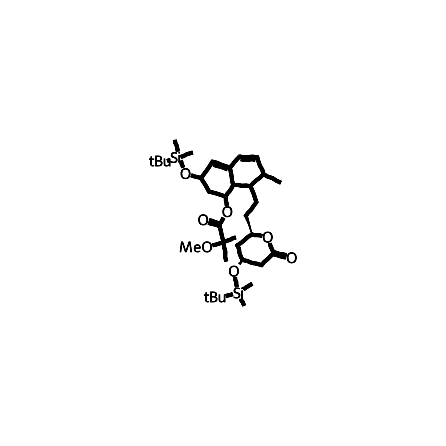 COC(C)(C)C(=O)OC1CC(O[Si](C)(C)C(C)(C)C)C=C2C=CC(C)C(CC[C@@H]3C[C@@H](O[Si](C)(C)C(C)(C)C)CC(=O)O3)C21